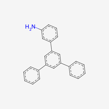 Nc1cccc(-c2cc(-c3ccccc3)cc(-c3ccccc3)c2)c1